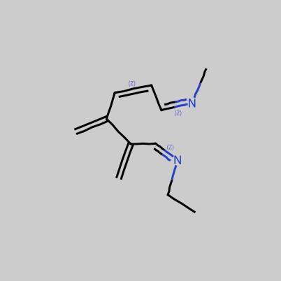 C=C(/C=C\C=N/C)C(=C)/C=N\CC